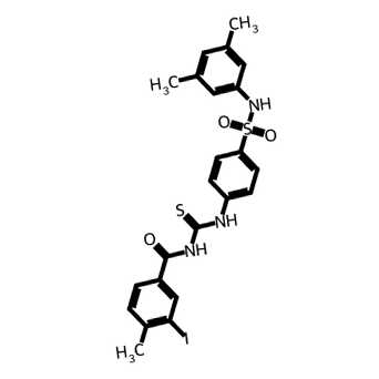 Cc1cc(C)cc(NS(=O)(=O)c2ccc(NC(=S)NC(=O)c3ccc(C)c(I)c3)cc2)c1